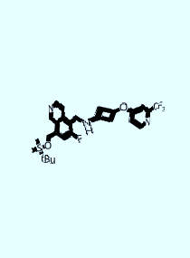 CC(C)(C)[Si](C)(C)OCc1cc(F)c(CNC2CC(Oc3ccnc(C(F)(F)F)c3)C2)c2ccncc12